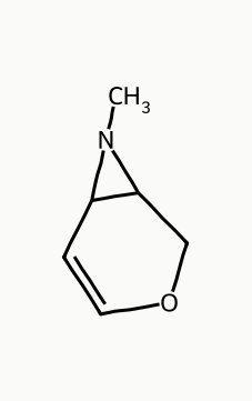 CN1C2C=COCC21